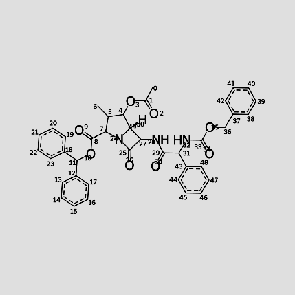 CC(=O)OC1C(C)C(C(=O)OC(c2ccccc2)c2ccccc2)N2C(=O)C(NC(=O)C(NC(=O)OCc3ccccc3)c3ccccc3)[C@@H]12